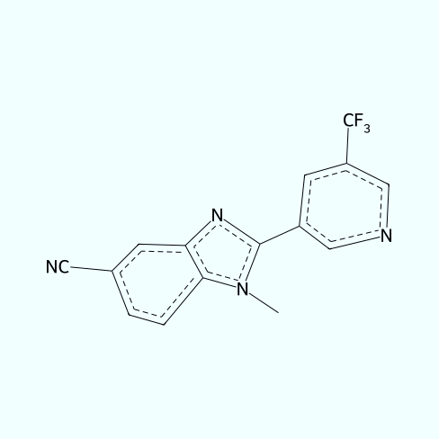 Cn1c(-c2cncc(C(F)(F)F)c2)nc2cc(C#N)ccc21